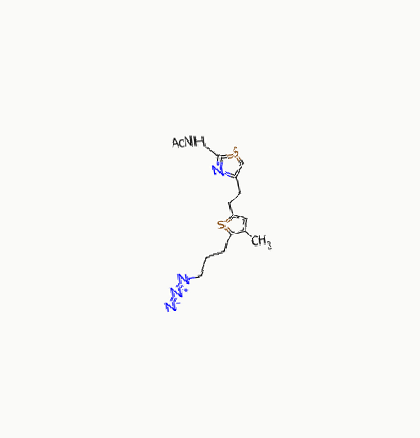 CC(=O)Nc1nc(CCc2cc(C)c(CCCN=[N+]=[N-])s2)cs1